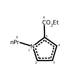 CCCn1cccc1C(=O)OCC